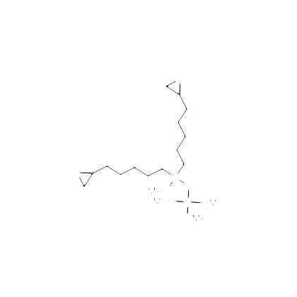 CO[Si](CCCCCC1CO1)(CCCCCC1CO1)O[Si](OC)(OC)OC